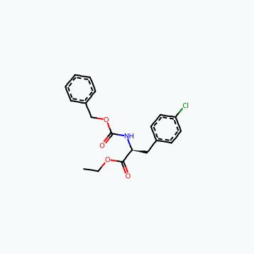 CCOC(=O)[C@H](Cc1ccc(Cl)cc1)NC(=O)OCc1ccccc1